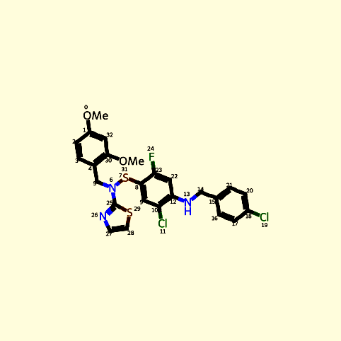 COc1ccc(CN(Sc2cc(Cl)c(NCc3ccc(Cl)cc3)cc2F)c2nccs2)c(OC)c1